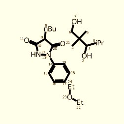 CC(C)C(O)C(C)(C)CO.CCCCC1C(=O)NN(c2ccccc2)C1=O.CCOCC